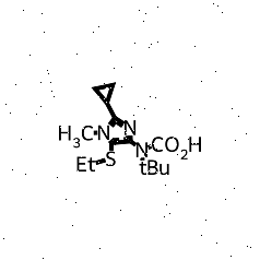 CCSc1c(N(C(=O)O)C(C)(C)C)nc(C2CC2)n1C